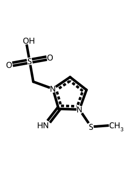 CSn1ccn(CS(=O)(=O)O)c1=N